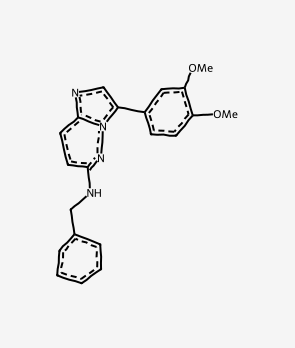 COc1ccc(-c2cnc3ccc(NCc4ccccc4)nn23)cc1OC